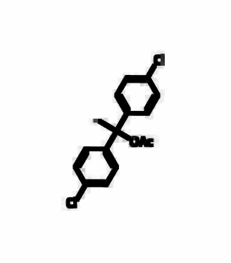 [CH2]C(OC(C)=O)(c1ccc(Cl)cc1)c1ccc(Cl)cc1